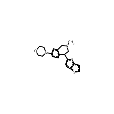 CN1Cc2cc(N3CCOCC3)ccc2C(c2ccc3sccc3n2)C1